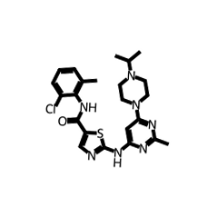 Cc1nc(Nc2ncc(C(=O)Nc3c(C)cccc3Cl)s2)cc(N2CCN(C(C)C)CC2)n1